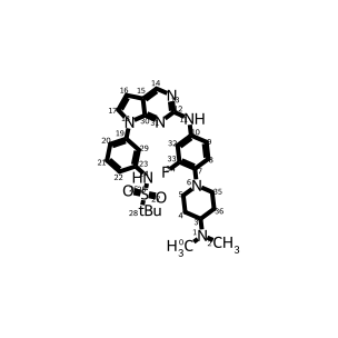 CN(C)C1CCN(c2ccc(Nc3ncc4ccn(-c5cccc(NS(=O)(=O)C(C)(C)C)c5)c4n3)cc2F)CC1